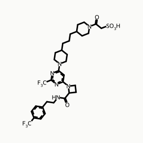 O=C(NCCc1ccc(C(F)(F)F)cc1)C1CCN1c1cc(N2CCC(CCCC3CCN(C(=O)CS(=O)(=O)O)CC3)CC2)nc(C(F)(F)F)n1